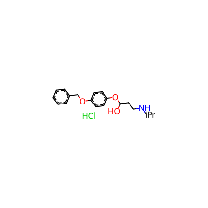 CC(C)NCCC(O)Oc1ccc(OCc2ccccc2)cc1.Cl